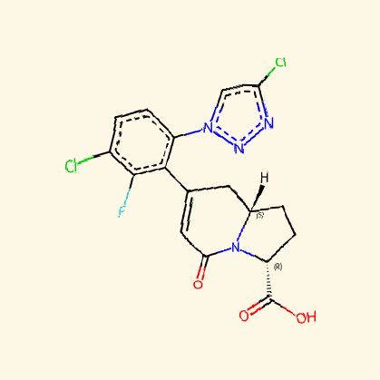 O=C(O)[C@H]1CC[C@H]2CC(c3c(-n4cc(Cl)nn4)ccc(Cl)c3F)=CC(=O)N21